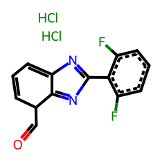 Cl.Cl.O=CC1C=CC=C2N=C(c3c(F)cccc3F)N=C21